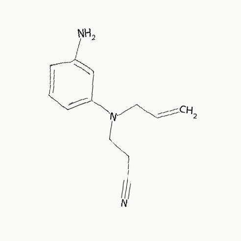 C=CCN(CCC#N)c1cccc(N)c1